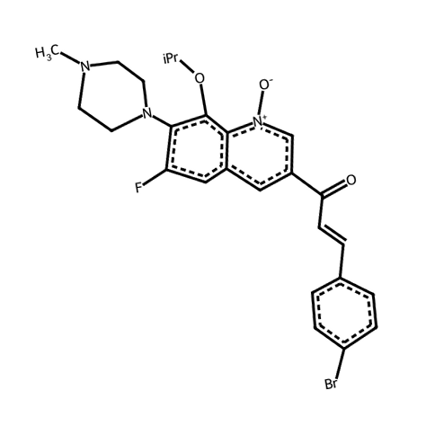 CC(C)Oc1c(N2CCN(C)CC2)c(F)cc2cc(C(=O)C=Cc3ccc(Br)cc3)c[n+]([O-])c12